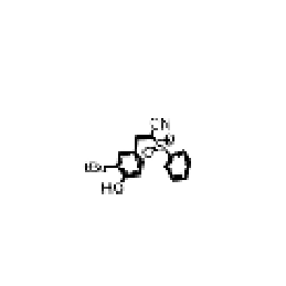 CC(C)(C)c1cc(/C=C(/C#N)S(=O)(=O)c2ccccc2)ccc1O